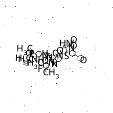 CCP(=O)(CC)c1ccc(-n2ccn(-c3c4c(nn3-c3cc(C)c(F)c(C)c3)CCN(C(=O)c3sc5cc(C6CCOCC6)ccc5c3C3(c5noc(=O)[nH]5)CC3)[C@H]4C)c2=O)cc1NC